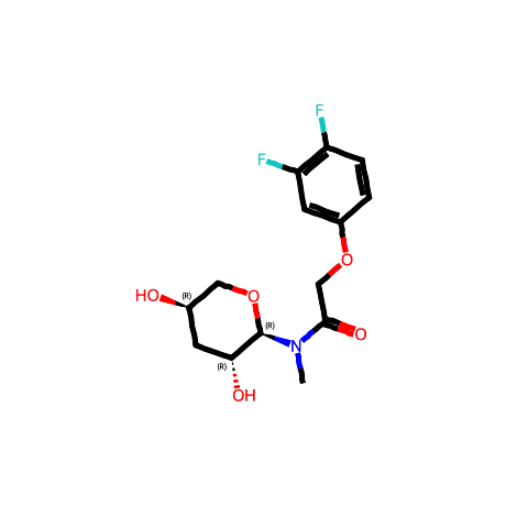 CN(C(=O)COc1ccc(F)c(F)c1)[C@@H]1OC[C@H](O)C[C@H]1O